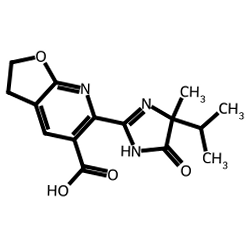 CC(C)C1(C)N=C(c2nc3c(cc2C(=O)O)CCO3)NC1=O